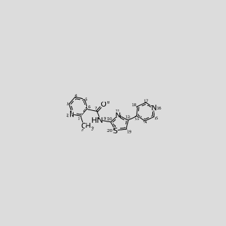 Cc1ncccc1C(=O)Nc1nc(-c2ccncc2)cs1